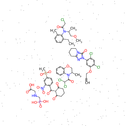 C#CCOc1cc(-n2nc3n(c2=O)CCCC3)c(Cl)cc1Cl.CC1COc2ccccc2N1C(=O)C(Cl)Cl.CCc1cccc(C)c1N(C(=O)CCl)C(C)COC.CS(=O)(=O)c1ccc(C(=O)C2C(=O)CCCC2=O)c([N+](=O)[O-])c1.O=C(O)CNCP(=O)(O)O